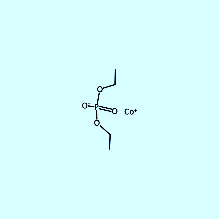 CCOP(=O)([O-])OCC.[Co+]